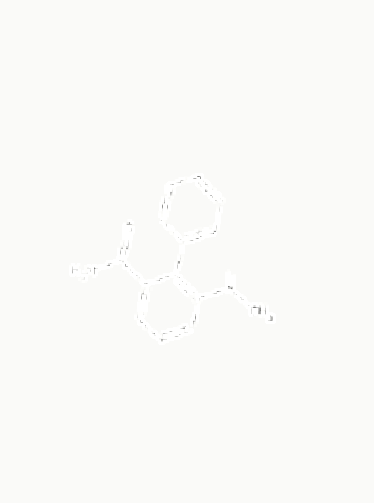 CNc1cccc(C(N)=O)c1-c1ccccc1